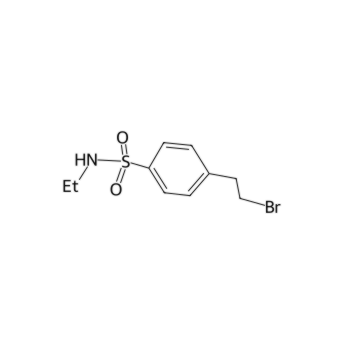 CCNS(=O)(=O)c1ccc(CCBr)cc1